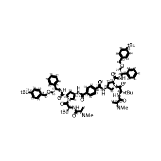 CN[C@@H](C)C(=O)N[C@H](C(=O)N1C[C@@H](NC(=O)c2ccc(C(=O)N[C@H]3C[C@@H](C(=O)N[C@H](COCc4ccc(C(C)(C)C)cc4)c4ccccc4)N(C(=O)[C@@H](NC(=O)[C@H](C)NC)C(C)(C)C)C3)cc2)C[C@H]1C(=O)N[C@H](COCc1ccc(C(C)(C)C)cc1)c1ccccc1)C(C)(C)C